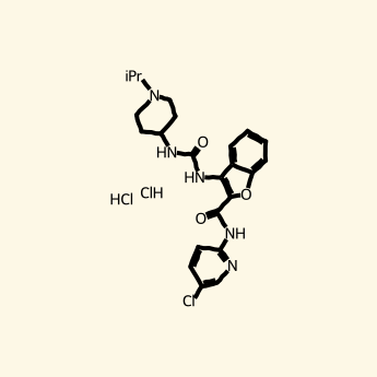 CC(C)N1CCC(NC(=O)Nc2c(C(=O)Nc3ccc(Cl)cn3)oc3ccccc23)CC1.Cl.Cl